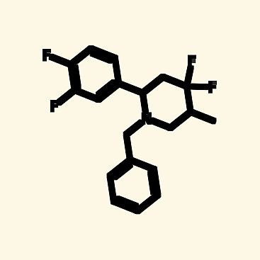 CC1CN(Cc2ccccc2)C(c2ccc(F)c(F)c2)CC1(F)F